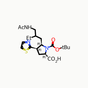 CCC(CNC(C)=O)C[C@@H]1[C@H](c2nccs2)C[C@H](C(=O)O)N1C(=O)OC(C)(C)C